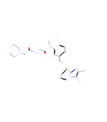 Cc1nc2c(OCc3c(Cl)ccc(N(C)C(=O)CNC(=O)CN4CCOCC4)c3Cl)cccn2c1Br.Cl.Cl